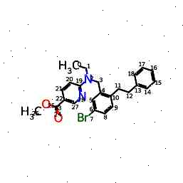 CCN(Cc1cc(Br)ccc1CCc1ccccc1)c1ccc(C(=O)OC)cn1